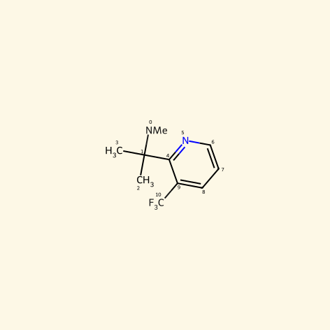 CNC(C)(C)c1ncccc1C(F)(F)F